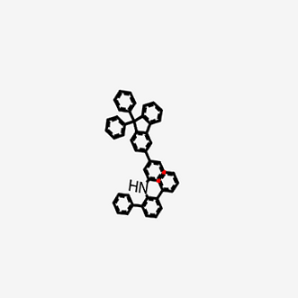 c1ccc(-c2cccc(-c3ccccc3)c2Nc2cccc(-c3ccc4c(c3)-c3ccccc3C4(c3ccccc3)c3ccccc3)c2)cc1